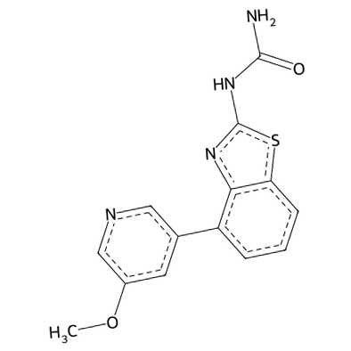 COc1cncc(-c2cccc3sc(NC(N)=O)nc23)c1